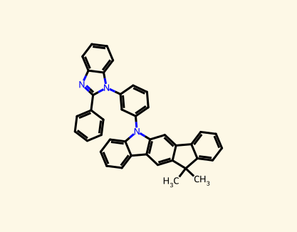 CC1(C)c2ccccc2-c2cc3c(cc21)c1ccccc1n3-c1cccc(-n2c(-c3ccccc3)nc3ccccc32)c1